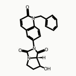 O=C1[C@@H]2C(O)CCN2C(=O)N1c1ccc2c(ccc(=O)n2Cc2ccccc2)c1